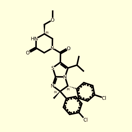 COC[C@H]1CN(C(=O)C2=C(C(C)C)N3C(=N[C@@](C)(c4ccc(Cl)cc4)[C@H]3c3ccc(Cl)cc3)S2)CC(=O)N1